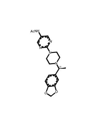 CC(=O)Nc1cnc(N2CCN([C@@H](C)c3ccc4c(c3)OCO4)CC2)nc1